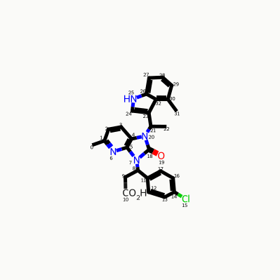 Cc1ccc2c(n1)n(C(CC(=O)O)c1ccc(Cl)cc1)c(=O)n2C(C)c1c[nH]c2cccc(C)c12